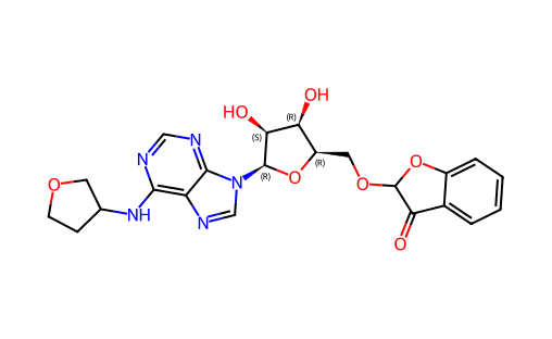 O=C1c2ccccc2OC1OC[C@H]1O[C@@H](n2cnc3c(NC4CCOC4)ncnc32)[C@@H](O)[C@H]1O